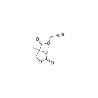 C#CCOC(=O)C1(C)COC(=O)O1